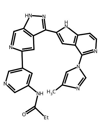 CCC(=O)Nc1cncc(-c2cc3c(-c4cc5c(-n6cnc(C)c6)nccc5[nH]4)n[nH]c3cn2)c1